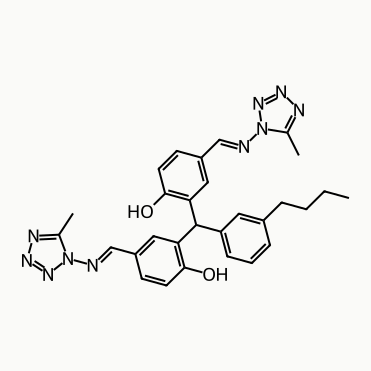 CCCCc1cccc(C(c2cc(C=Nn3nnnc3C)ccc2O)c2cc(C=Nn3nnnc3C)ccc2O)c1